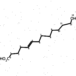 O=C(O)CCCC=CCCCCCCCO